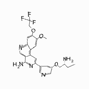 CC[C@@H](N)COc1cncc(-c2cc3c(cnc4cc(OCC(F)(F)F)c(OC)cc43)c(N)n2)c1